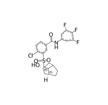 O=C(Nc1cc(F)c(F)c(F)c1)c1ccc(Cl)c(S(=O)(=O)CC2C3CC[C@H]2C[C@H](O)C3)c1